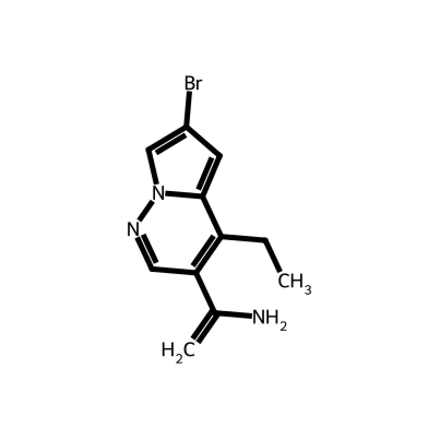 C=C(N)c1cnn2cc(Br)cc2c1CC